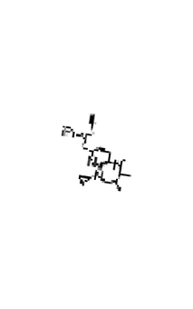 C#CCN(Cc1ccc2c(n1)N(C1CC1)CC(C)C(=C)N2C)C(C)C